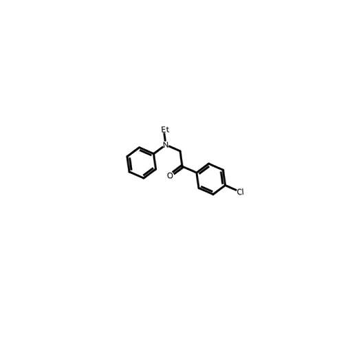 CCN(CC(=O)c1ccc(Cl)cc1)c1ccccc1